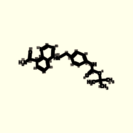 CC(C)(C)OC(=O)Nc1ccc(CNc2ncnc3c(C(N)=O)cccc23)cc1